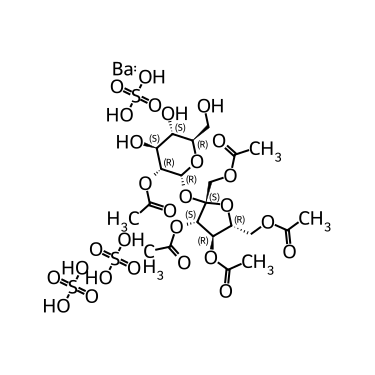 CC(=O)OC[C@H]1O[C@@](COC(C)=O)(O[C@H]2O[C@H](CO)[C@@H](O)[C@H](O)[C@H]2OC(C)=O)[C@@H](OC(C)=O)[C@@H]1OC(C)=O.O=S(=O)(O)O.O=S(=O)(O)O.O=S(=O)(O)O.[Ba]